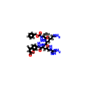 CCCC[C@H](NC(=O)OCc1ccccc1)C(=O)N[C@@H](CCCCN)C(=O)N[C@@H](CCCNC(=N)N)C(=O)Nc1ccc2c(C)cc(=O)oc2c1